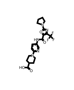 O=C(Nc1ccc(N2CCC(C(=O)O)CC2)nc1)c1oc(N2CCCC2)nc1C(F)(F)F